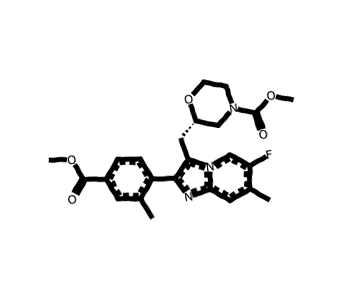 COC(=O)c1ccc(-c2nc3cc(C)c(F)cn3c2C[C@H]2CN(C(=O)OC)CCO2)c(C)c1